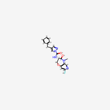 CN1C(=O)[C@@H](NC(=O)n2cc(Cc3ccccc3)cn2)COc2cc(F)ncc21